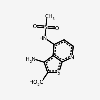 CS(=O)(=O)Nc1ccnc2sc(C(=O)O)c(N)c12